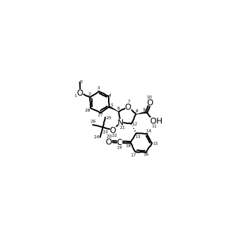 COc1ccc([C@H]2O[C@@H](C(=O)O)[C@H](C3C=CC=CC3=C=O)N2OC(C)(C)C)cc1